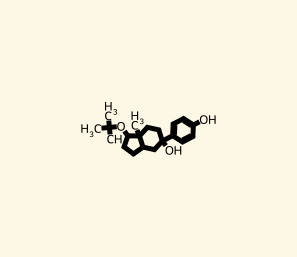 CC(C)(C)OC1CCC2CC(O)(c3ccc(O)cc3)CCC21C